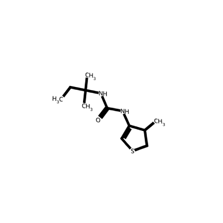 CCC(C)(C)NC(=O)NC1=CSCC1C